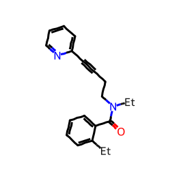 CCc1ccccc1C(=O)N(CC)CCC#Cc1ccccn1